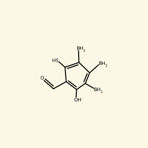 Bc1c(B)c(O)c(C=O)c(S)c1B